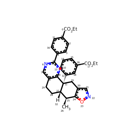 CCOC(=O)c1ccc(-c2ncc3c(n2)[C@@]2(c4cccc(C(=O)OCC)c4)Cc4cnoc4[C@@H](C)[C@@H]2CC3)cc1